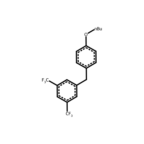 CCCCOc1ccc(Cc2cc(C(F)(F)F)cc(C(F)(F)F)c2)cc1